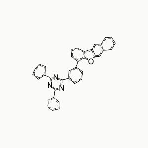 c1ccc(-c2nc(-c3ccccc3)nc(-c3cccc(-c4cccc5c4oc4cc6ccccc6cc45)c3)n2)cc1